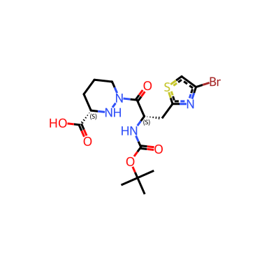 CC(C)(C)OC(=O)N[C@@H](Cc1nc(Br)cs1)C(=O)N1CCC[C@@H](C(=O)O)N1